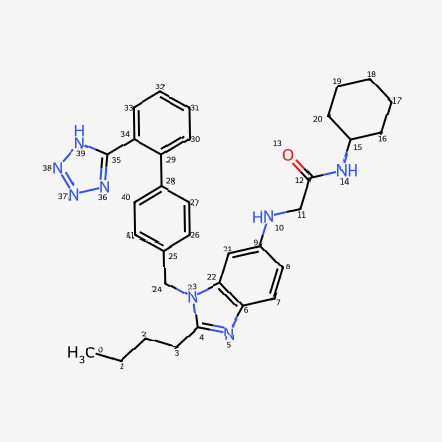 CCCCc1nc2ccc(NCC(=O)NC3CCCCC3)cc2n1Cc1ccc(-c2ccccc2-c2nnn[nH]2)cc1